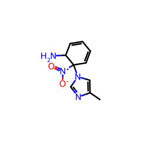 Cc1cn(C2([N+](=O)[O-])C=CC=CC2N)cn1